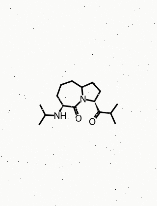 CC(C)N[C@H]1CCCC2CC[C@@H](C(=O)C(C)C)N2C1=O